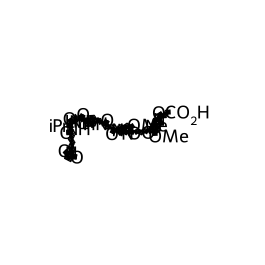 COc1cc2c(nc1OCCCOc1nc3c(cc1OC)CN(C(=O)CCC(=O)NCc1ccc(NC(=O)[C@H](C)NC(=O)[C@@H](NC(=O)CCCCCN4C(=O)C=CC4=O)C(C)C)cc1)C3)CN(C(=O)CCC(=O)O)C2